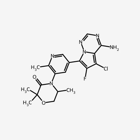 Cc1ncc(-c2c(F)c(Cl)c3c(N)ncnn23)cc1N1C(=O)C(C)(C)OCC1C